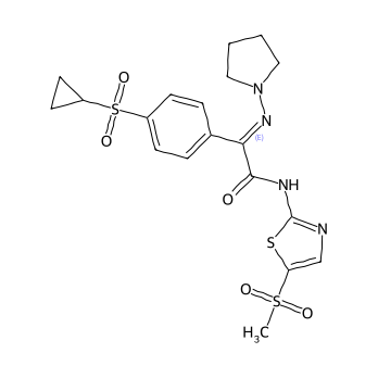 CS(=O)(=O)c1cnc(NC(=O)/C(=N/N2CCCC2)c2ccc(S(=O)(=O)C3CC3)cc2)s1